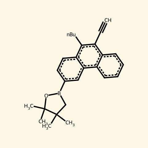 C#Cc1c(CCCC)c2ccc(B3CC(C)(C)C(C)(C)O3)cc2c2ccccc12